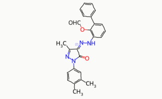 CC1=NN(c2ccc(C)c(C)c2)C(=O)/C1=N\Nc1cccc(-c2ccccc2)c1OC=O